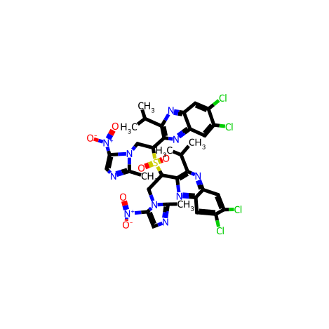 Cc1ncc([N+](=O)[O-])n1CC(c1nc2cc(Cl)c(Cl)cc2nc1C(C)C)S(=O)(=O)C(Cn1c([N+](=O)[O-])cnc1C)c1nc2cc(Cl)c(Cl)cc2nc1C(C)C